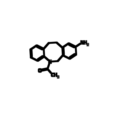 CC(=O)N1Cc2ccc(N)cc2CCc2ccccc21